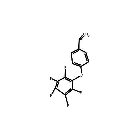 C=Cc1ccc(Oc2c(F)c(F)c(F)c(F)c2F)cc1